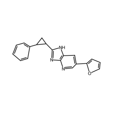 c1ccc(C2CC2c2nc3ncc(-c4ccco4)cc3[nH]2)cc1